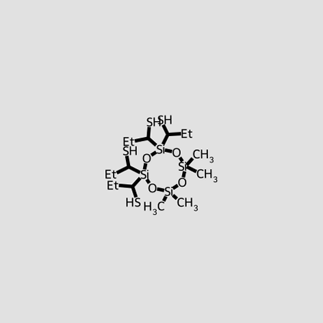 CCC(S)[Si]1(C(S)CC)O[Si](C)(C)O[Si](C)(C)O[Si](C(S)CC)(C(S)CC)O1